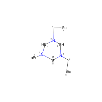 CCCN1BN(CC(C)CC)BN(CC(C)CC)B1